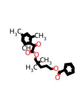 Cc1cc(C)c(C(=O)C(=O)OCC(C)(C)CCCOC(=O)c2ccccc2)c(C)c1